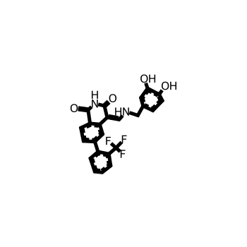 O=C1NC(=O)c2ccc(-c3ccccc3C(F)(F)F)cc2C1=CNCc1ccc(O)c(O)c1